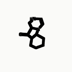 O=C1C2CCCCC2N2C=CNCC12